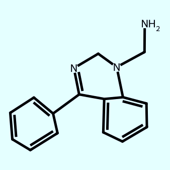 NCN1CN=C(c2ccccc2)c2ccccc21